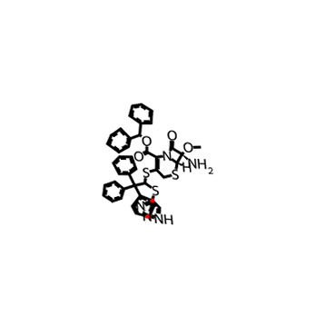 CO[C@@]1(N)C(=O)N2C(C(=O)OC(c3ccccc3)c3ccccc3)=C(SC(Sc3c[nH]nn3)C(c3ccccc3)(c3ccccc3)c3ccccc3)CS[C@H]21